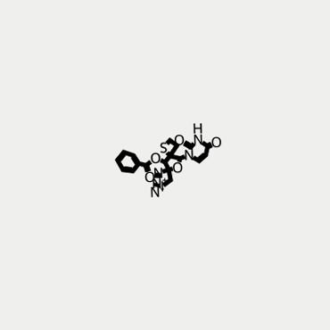 [N-]=[N+]=NC1(CI)OC(n2ccc(=O)[nH]c2=O)C2(CCS2)C1OC(=O)c1ccccc1